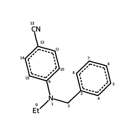 CCN(Cc1ccccc1)c1ccc(C#N)cc1